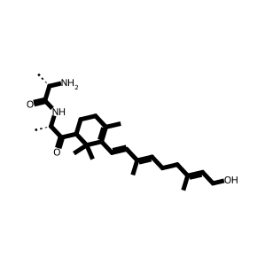 CC1=C(/C=C/C(C)=C/CC/C(C)=C/CO)C(C)(C)C(C(=O)[C@H](C)NC(=O)[C@H](C)N)CC1